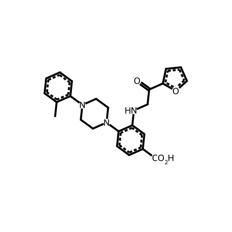 Cc1ccccc1N1CCN(c2ccc(C(=O)O)cc2NCC(=O)c2ccco2)CC1